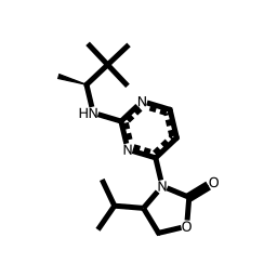 CC(C)C1COC(=O)N1c1ccnc(N[C@@H](C)C(C)(C)C)n1